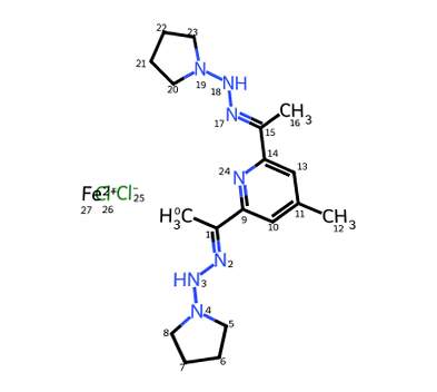 CC(=NNN1CCCC1)c1cc(C)cc(C(C)=NNN2CCCC2)n1.[Cl-].[Cl-].[Fe+2]